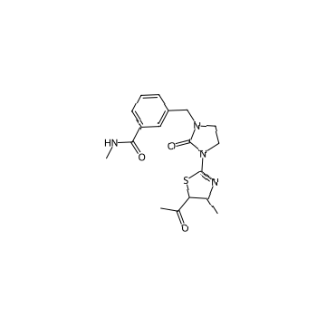 CNC(=O)c1cccc(CN2CCN(C3=NC(C)C(C(C)=O)S3)C2=O)c1